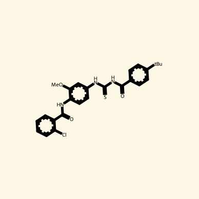 COc1cc(NC(=S)NC(=O)c2ccc(C(C)(C)C)cc2)ccc1NC(=O)c1ccccc1Cl